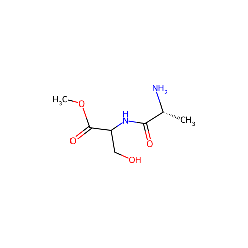 COC(=O)C(CO)NC(=O)[C@@H](C)N